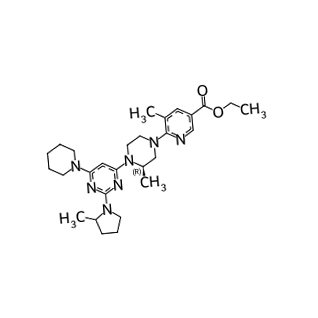 CCOC(=O)c1cnc(N2CCN(c3cc(N4CCCCC4)nc(N4CCCC4C)n3)[C@H](C)C2)c(C)c1